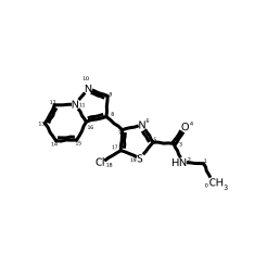 CCNC(=O)c1nc(-c2cnn3ccccc23)c(Cl)s1